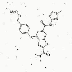 COOSc1ccc(Oc2cc(C(=O)Nc3ccn(C)n3)cc3oc(C(=O)N(C)C)cc23)cc1